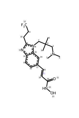 CN(C)CC(C)(C)Cn1c(CCC(F)(F)F)nc2ccc(/C=C/C(=O)NO)cc21